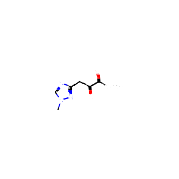 COC(=O)C(=O)Cc1ncn(C)n1